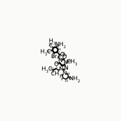 CC(C)=CCn1c(N2CCCC(N)C2)nc2c1c(=O)n(CC(=O)c1cc(N)c(C)c(C)c1Br)c(=O)n2C